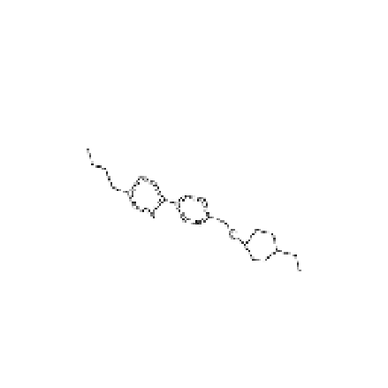 CCCCc1ccc(-c2ccc(CCC3CCC(CC)CC3)cc2)nc1